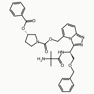 CC(C)(N)C(=O)N[C@H](COCc1ccccc1)c1nnc2cccc(COC(=O)N3CC[C@H](OC(=O)c4ccccc4)C3)n12